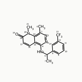 Cc1nnc(NC(C)c2cccc(C(F)(F)F)c2)c2ccc(=O)n(C)c12